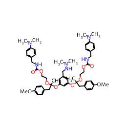 COc1ccc(CC(C)(OCCOC(=O)NCc2ccc(N(C)C)cc2)Oc2cc(CNN(C)C)cc(OC(C)(Cc3ccc(OC)cc3)OCCOC(=O)NCc3ccc(N(C)C)cc3)c2)cc1